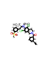 C#Cc1cccc(C(=O)N2CCc3c(cc(Cl)c(N(C=O)[C@@H](Cc4cccc(S(C)(=O)=O)c4)C(=O)O)c3Cl)C2)c1